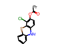 CC(C)C(=O)Oc1ccc2c(c1Cl)Sc1ccccc1N2